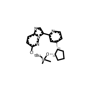 CC(C)(C)[Si](C)(C)O[C@H]1CCC[C@H]1c1ccnc(-c2cnc3ccc(Cl)nn23)c1